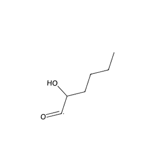 CCCCC(O)[C]=O